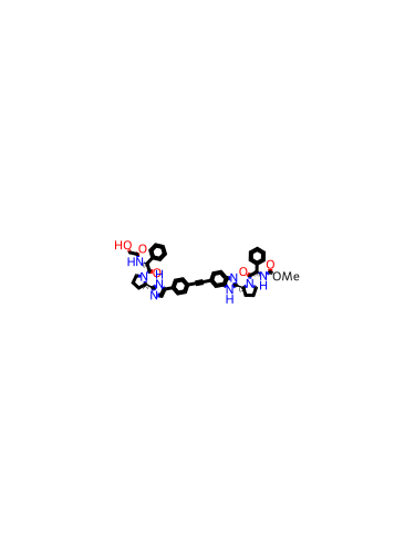 COC(=O)N[C@@H](C(=O)N1CCC[C@H]1c1nc2ccc(C#Cc3ccc(-c4cnc([C@H]5CCCN5C(=O)[C@H](NC(=O)CO)c5ccccc5)[nH]4)cc3)cc2[nH]1)c1ccccc1